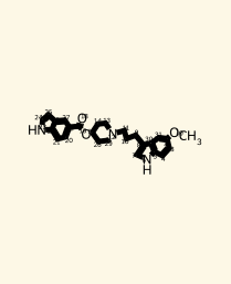 COc1ccc2[nH]cc(CCCN3CCC(OC(=O)c4ccc5[nH]ccc5c4)CC3)c2c1